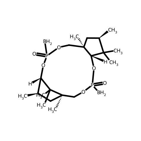 BP1(=O)OC[C@@]2(C)C[C@@H](C)C(C)(C)[C@@H]2OP(B)(=O)OC[C@@]2(C)C[C@@H](C)[C@H](O1)C2(C)C